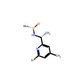 Cc1cc(Br)nc([C@@H](C)N[S@@+]([O-])C(C)(C)C)c1